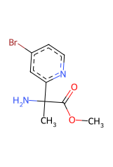 COC(=O)C(C)(N)c1cc(Br)ccn1